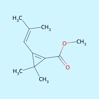 COC(=O)C1=C(C=C(C)C)C1(C)C